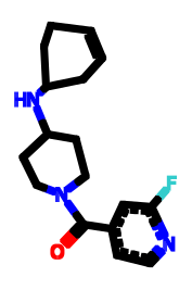 O=C(c1ccnc(F)c1)N1CCC(NC2CC=CCC2)CC1